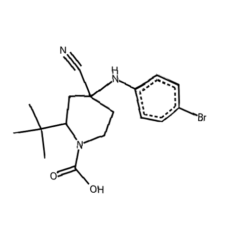 CC(C)(C)C1CC(C#N)(Nc2ccc(Br)cc2)CCN1C(=O)O